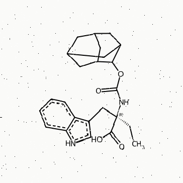 CC[C@](Cc1c[nH]c2ccccc12)(NC(=O)OC1C2CC3CC(C2)CC1C3)C(=O)O